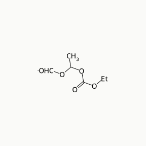 CCOC(=O)OC(C)O[C]=O